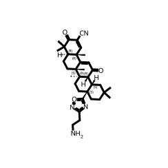 CC1(C)CC[C@]2(c3nc(CCN)no3)CC[C@]3(C)[C@H](C(=O)C=C4[C@@]5(C)C=C(C#N)C(=O)C(C)(C)[C@@H]5CC[C@]43C)[C@@H]2C1